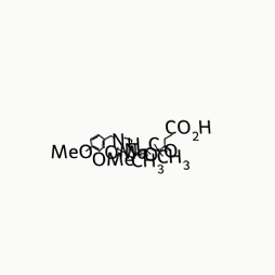 COc1ccc(CN2CCN(C(C)COC(C)(C)C(=O)CCC(=O)O)CC2)c(OC)c1OC